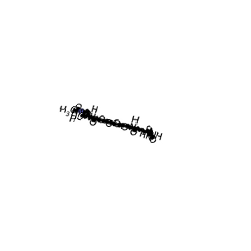 CNC(=O)/C=C/c1ccc(CNC(=O)CCOCCOCCOCCOCCNC(=O)CCCCC2SCC3NC(=O)NC32)cc1O